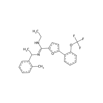 CCN/C(=N\C(C)c1ccccc1C)c1ccc(-c2ccccc2OC(F)(F)F)o1